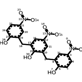 O=[N+]([O-])c1ccc(O)c(Cc2cc([N+](=O)[O-])cc(Cc3cc([N+](=O)[O-])ccc3O)c2O)c1